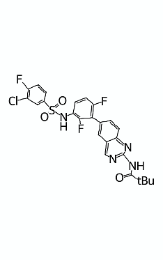 CC(C)(C)C(=O)Nc1ncc2cc(-c3c(F)ccc(NS(=O)(=O)c4ccc(F)c(Cl)c4)c3F)ccc2n1